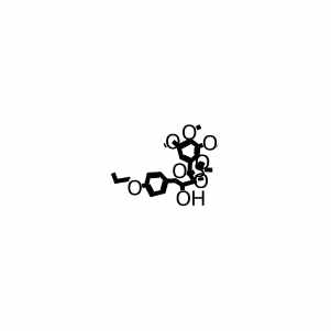 CCCOc1ccc(C2OC(c3cc(OC)c(OC)c(OC)c3)(S(C)(=O)=O)CC2O)cc1